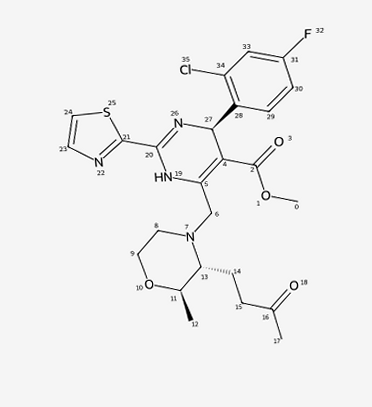 COC(=O)C1=C(CN2CCO[C@H](C)[C@H]2CCC(C)=O)NC(c2nccs2)=N[C@H]1c1ccc(F)cc1Cl